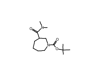 CN(C)C(=O)C1CCCCN(C(=O)OC(C)(C)C)C1